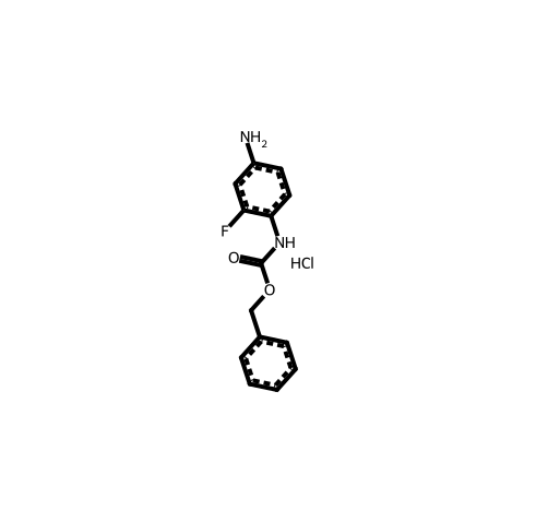 Cl.Nc1ccc(NC(=O)OCc2ccccc2)c(F)c1